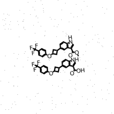 COC(=O)c1c[nH]c2ccc(C3CC(Oc4ccc(C(F)(F)F)cc4)C3)cc12.O=C(O)c1c[nH]c2ccc(C3CC(Oc4ccc(C(F)(F)F)cc4)C3)cc12